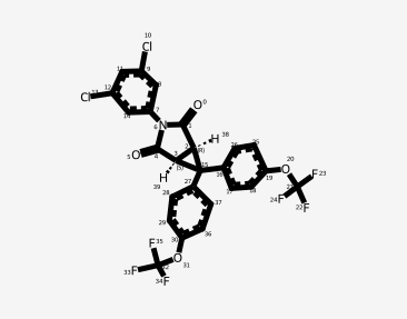 O=C1[C@@H]2[C@H](C(=O)N1c1cc(Cl)cc(Cl)c1)C2(c1ccc(OC(F)(F)F)cc1)c1ccc(OC(F)(F)F)cc1